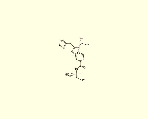 CCC(CC)n1c(Cc2ccco2)nc2cc(C(=O)NC(C)(CC(C)C)C(=O)O)ccc21